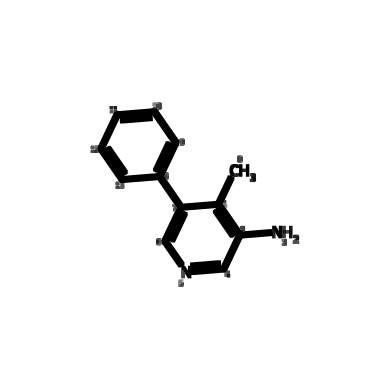 Cc1c(N)cncc1-c1ccccc1